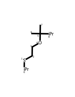 CC(C)SCCOC(C)(C)C(C)C